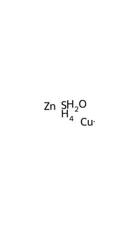 O.[Cu].[SiH4].[Zn]